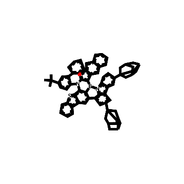 CC(C)(C)c1ccc(N2c3sc4cc5ccccc5cc4c3B3c4c(cc5c(sc6ccccc65)c42)-c2cc(C45CC6CC(CC(C6)C4)C5)cc4c5cc(C67CC8CC(CC(C8)C6)C7)ccc5n3c24)c(-c2ccccc2)c1